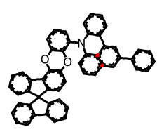 c1ccc(-c2cccc(-c3ccccc3N(c3ccccc3)c3cccc4c3Oc3ccc5c(c3O4)-c3ccccc3C53c4ccccc4-c4ccccc43)c2)cc1